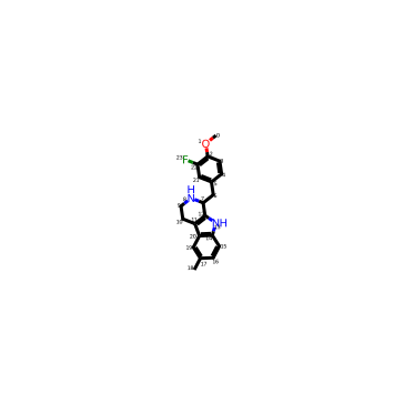 COc1ccc(CC2NCCc3c2[nH]c2ccc(C)cc32)cc1F